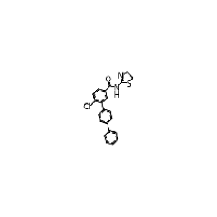 O=C(NC1=NCCS1)c1ccc(Cl)c(-c2ccc(-c3ccccc3)cc2)c1